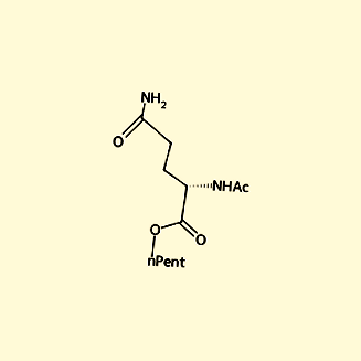 CCCCCOC(=O)[C@H](CCC(N)=O)NC(C)=O